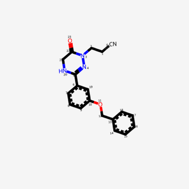 N#CCCN1N=C(c2cccc(OCc3ccccc3)c2)NCC1=O